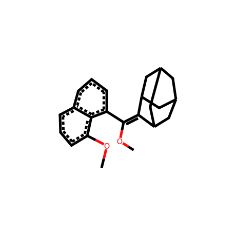 COC(=C1C2CC3CC(C2)CC1C3)c1cccc2cccc(OC)c12